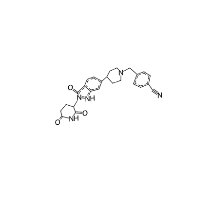 N#Cc1ccc(CN2CCC(c3ccc4c(=O)n(C5CCC(=O)NC5=O)[nH]c4c3)CC2)cc1